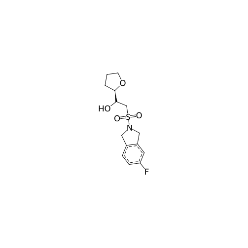 O=S(=O)(CC(O)[C@H]1CCCO1)N1Cc2ccc(F)cc2C1